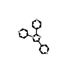 c1cc(-c2cn(-c3ccncc3)c(-c3ccncc3)n2)ccn1